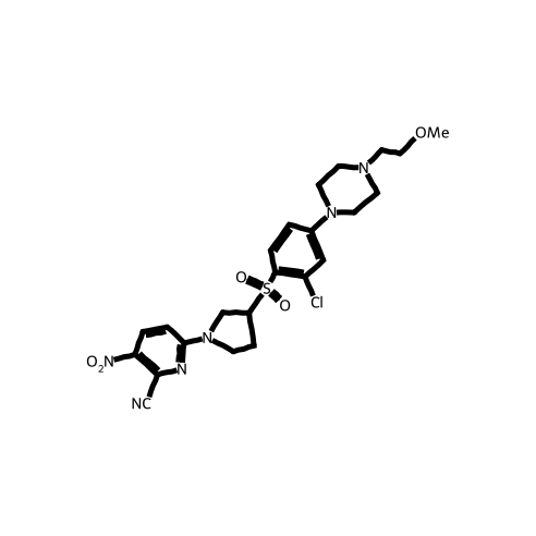 COCCN1CCN(c2ccc(S(=O)(=O)C3CCN(c4ccc([N+](=O)[O-])c(C#N)n4)C3)c(Cl)c2)CC1